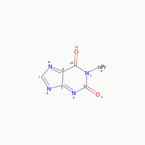 CCCN1C(=O)N=C2N=CN=C2C1=O